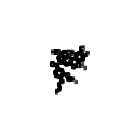 CCC(O)(CNC(=O)c1ccc(OCCF)c(OC)c1)c1ccc(OC)c(-c2ccc(F)c(Cl)c2)n1